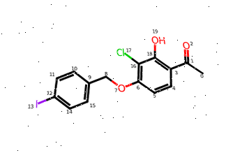 CC(=O)c1ccc(OCc2ccc(I)cc2)c(Cl)c1O